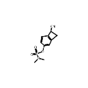 CN(C)S(=O)(=O)Oc1ccc2c(c1)CC2C#N